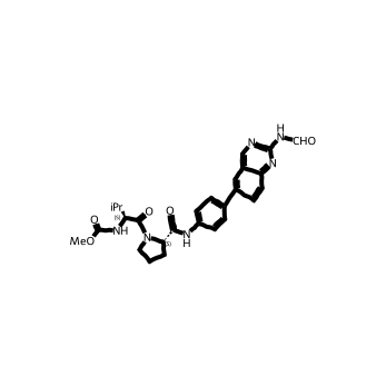 COC(=O)N[C@H](C(=O)N1CCC[C@H]1C(=O)Nc1ccc(-c2ccc3nc(NC=O)ncc3c2)cc1)C(C)C